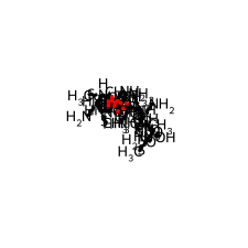 CC[C@H](C)[C@H](NC(=O)[C@H](C)NC(=O)[C@H](CC(=O)O)NC(=O)[C@@H](N)CCSC)C(=O)N[C@@H](CCCCN)C(=O)N[C@@H](CCCCN)C(=O)N[C@@H](CCCCN)C(=O)N[C@@H](CCSC)C(=O)N[C@@H](CC(C)C)C(=O)N[C@@H](C)C(=O)N[C@@H](CCSC)C(=O)N[C@@H](CCCCN)C(=O)N[C@@H](CCSC)C(=O)N[C@@H](CCC(=O)O)C(=O)N[C@@H](CCCCN)C(=O)O